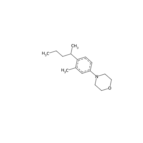 CCCC(C)c1ccc(N2CCOCC2)cc1C